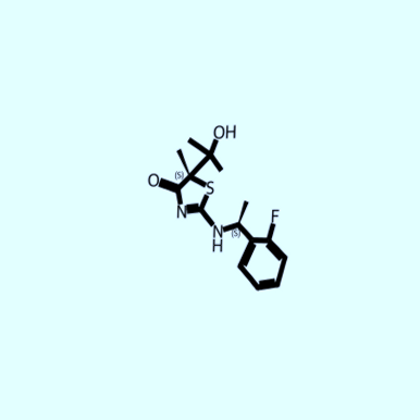 C[C@H](NC1=NC(=O)[C@](C)(C(C)(C)O)S1)c1ccccc1F